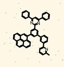 Cc1cccc(-c2cccc(-c3cc(-c4nc(-c5ccccc5)cc(-c5ccccc5)n4)cc(-c4cc5cccc6ccc7cccc4c7c65)c3)c2)n1